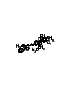 COc1cc(N)c(Cl)cc1C(=O)N[C@@H]1CCN(CCCCN(C)C(=O)N2CCCC2)C[C@@H]1OC.O